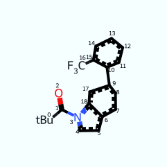 CC(C)(C)C(=O)n1ccc2ccc(-c3ccccc3C(F)(F)F)cc21